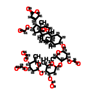 C[C@H]1O[C@@H](O[C@H]2[C@@H](OC=O)C[C@H](O[C@H]3[C@@H](OC=O)C[C@H](O[C@H]4CC[C@@]5(C)[C@H](CC[C@@H]6[C@@H]5CC[C@]5(C)[C@@H](C7=CC(=O)OC7)[C@@H](OC=O)C[C@]65O)C4)O[C@@H]3C)O[C@@H]2C)C[C@H](OC=O)[C@@H]1OC=O